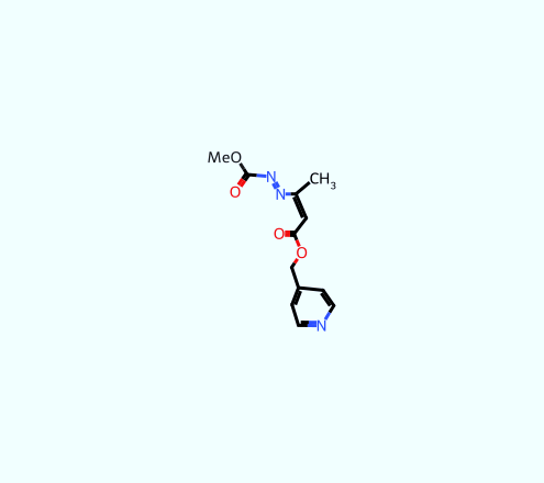 COC(=O)N=N/C(C)=C\C(=O)OCc1ccncc1